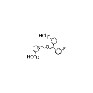 Cl.O=C(O)C1=CCCN(CCOC=C(c2cccc(F)c2)c2cccc(F)c2)C1